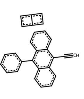 C#Cc1c2ccccc2c(-c2ccccc2)c2ccccc12.c1cc2ccc1-2